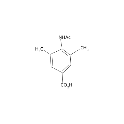 CC(=O)Nc1c(C)cc(C(=O)O)cc1C